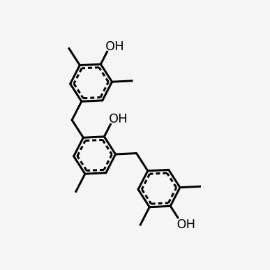 Cc1cc(Cc2cc(C)c(O)c(C)c2)c(O)c(Cc2cc(C)c(O)c(C)c2)c1